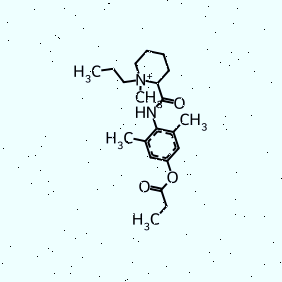 CCC[N+]1(C)CCCCC1C(=O)Nc1c(C)cc(OC(=O)CC)cc1C